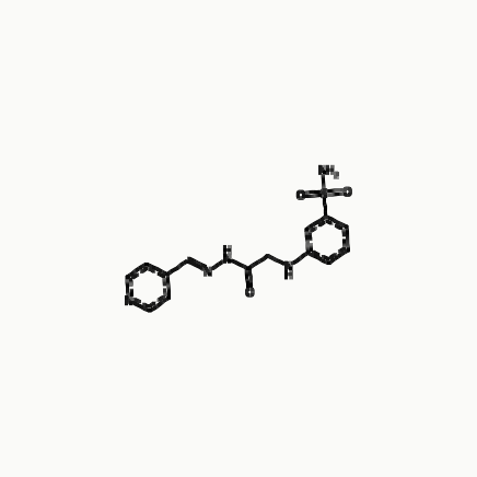 NS(=O)(=O)c1cccc(NCC(=O)N/N=C/c2ccncc2)c1